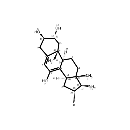 C[C@]12CC[C@H]3C(=C(O)C=C4C[C@@H](O)[C@H](O)C[C@@]43C)[C@@H]1C[C@@H](F)[C@@H]2N